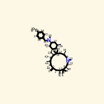 C=C1C[C@H](CC)C(C)(C)[C@H](C)[C@@H](C)N(C)C[C@H](C)CC(C)(C)[C@H](C[C@@H]2C[C@H](C)C[C@H](N(C)Cc3ccc(C(C)C)cc3)[C@H]2C)[C@@H](C)[C@H](C)[C@H]1C